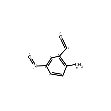 Cc1ccc(N=O)cc1[C]=O